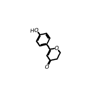 O=C1C=C(c2ccc(O)cc2)OCC1